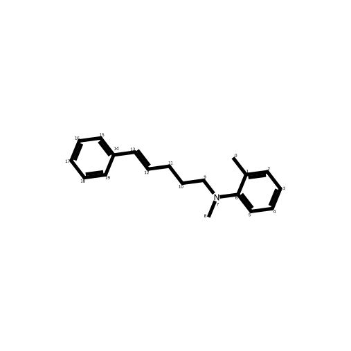 Cc1ccccc1N(C)CCCC=Cc1ccccc1